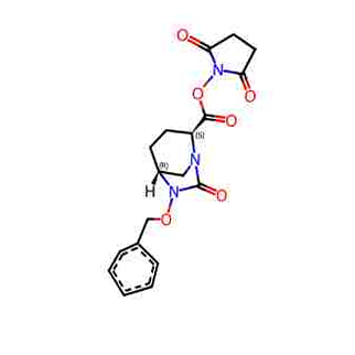 O=C(ON1C(=O)CCC1=O)[C@@H]1CC[C@@H]2CN1C(=O)N2OCc1ccccc1